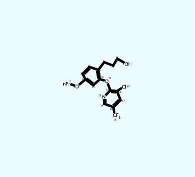 CCCOc1ccc(CCCO)c(Oc2ncc(C(F)(F)F)cc2Cl)c1